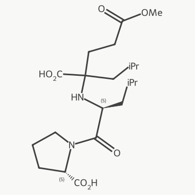 COC(=O)CCC(CC(C)C)(N[C@@H](CC(C)C)C(=O)N1CCC[C@H]1C(=O)O)C(=O)O